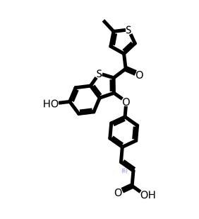 Cc1cc(C(=O)c2sc3cc(O)ccc3c2Oc2ccc(/C=C/C(=O)O)cc2)cs1